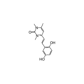 Cc1cc(C=Cc2cc(O)ccc2O)[n+](C)c(=O)n1C